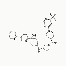 O=C(C1CCN(c2cc(C(F)(F)F)ncn2)CC1)N1CCC(NC2CCC(O)(c3ccc(-c4ncccn4)cn3)CC2)C1